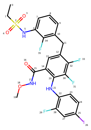 CCS(=O)(=O)Nc1cccc(Cc2cc(C(=O)NOC)c(Nc3ccc(I)cc3F)c(F)c2F)c1F